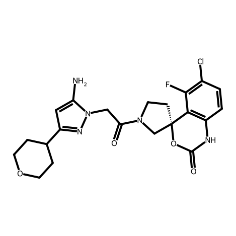 Nc1cc(C2CCOCC2)nn1CC(=O)N1CC[C@@]2(C1)OC(=O)Nc1ccc(Cl)c(F)c12